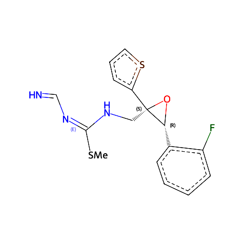 CS/C(=N/C=N)NC[C@]1(c2cccs2)O[C@@H]1c1ccccc1F